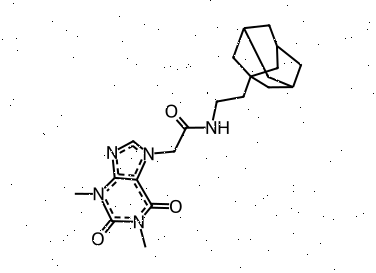 Cn1c(=O)c2c(ncn2CC(=O)NCCC23CC4CC(CC(C4)C2)C3)n(C)c1=O